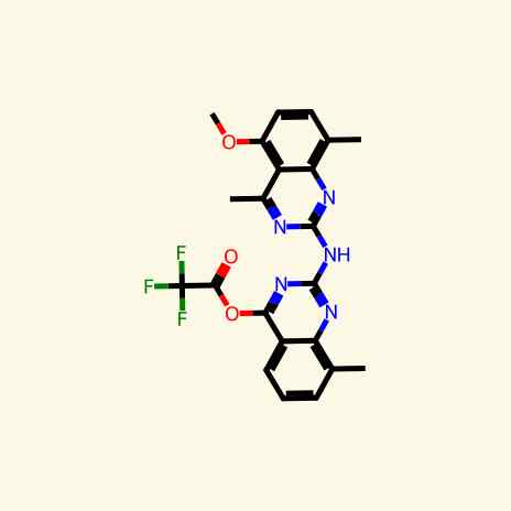 COc1ccc(C)c2nc(Nc3nc(OC(=O)C(F)(F)F)c4cccc(C)c4n3)nc(C)c12